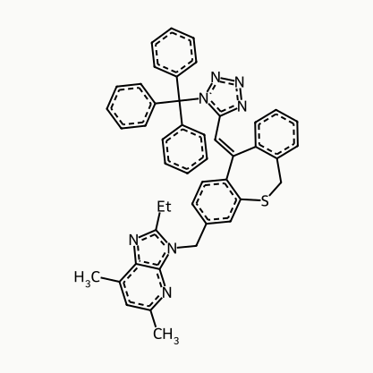 CCc1nc2c(C)cc(C)nc2n1Cc1ccc2c(c1)SCc1ccccc1C2=Cc1nnnn1C(c1ccccc1)(c1ccccc1)c1ccccc1